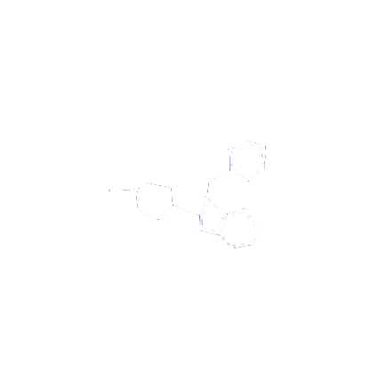 CCCN1CCC(c2nc3ccncc3n2Cc2ccccn2)CC1